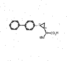 CC(C)(C)N(C(=O)O)[C@@H]1C[C@H]1c1ccc(-c2ccccc2)cc1